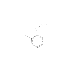 CSOc1ccccc1F